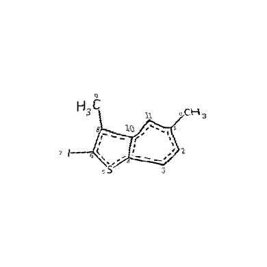 Cc1ccc2sc(I)c(C)c2c1